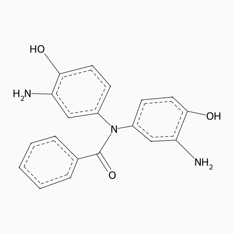 Nc1cc(N(C(=O)c2ccccc2)c2ccc(O)c(N)c2)ccc1O